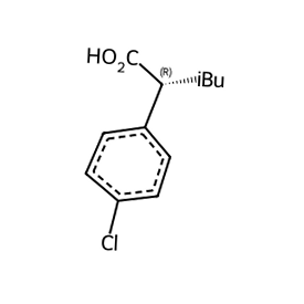 CCC(C)[C@@H](C(=O)O)c1ccc(Cl)cc1